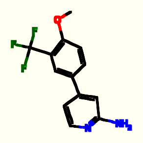 COc1ccc(-c2ccnc(N)c2)cc1C(F)(F)F